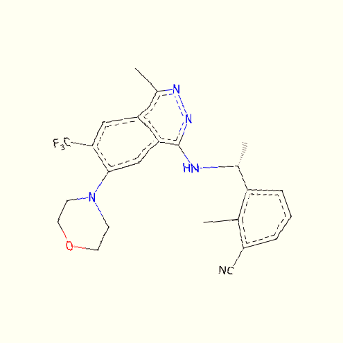 Cc1c(C#N)cccc1[C@@H](C)Nc1nnc(C)c2cc(C(F)(F)F)c(N3CCOCC3)cc12